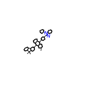 Cc1ccc2c(-c3ccc(-c4nc5ccccc5n4-c4ccccc4)cc3)c3ccccc3c(-c3ccc4c(c3)-c3ccccc3C4(C)C)c2c1